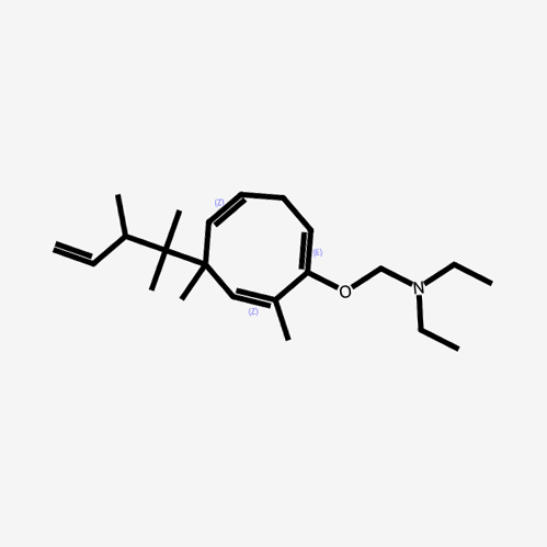 C=CC(C)C(C)(C)C1(C)/C=C\C/C=C(OCN(CC)CC)\C(C)=C/1